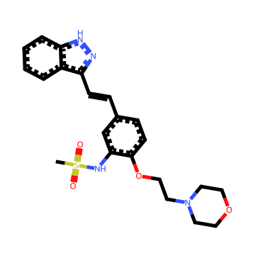 CS(=O)(=O)Nc1cc(C=Cc2n[nH]c3ccccc23)ccc1OCCN1CCOCC1